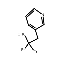 CCC(C=O)(CC)Cc1cccnc1